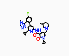 C[C@H]1CCCN(Cc2cc(C(=O)Nc3cc(-c4ccc(F)cc4-c4nncn4C)cc(C4CC4)n3)c(=O)n(C3CC3)c2)C1